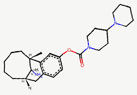 C[C@@]12CCCCC[C@@H](Cc3ccc(OC(=O)N4CCC(N5CCCCC5)CC4)cc31)[C@@H]2N